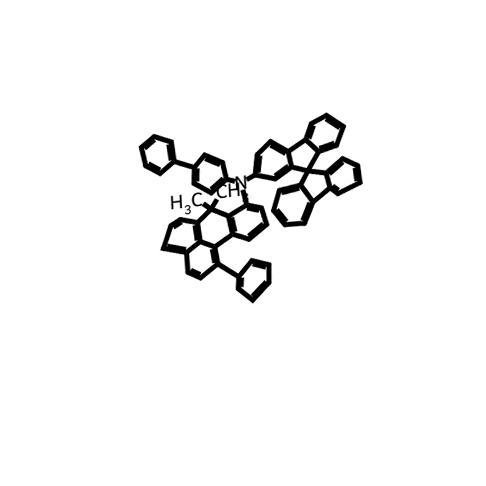 CC1(C)c2c(cccc2N(c2ccc(-c3ccccc3)cc2)c2ccc3c(c2)C2(c4ccccc4-c4ccccc42)c2ccccc2-3)-c2c(-c3ccccc3)ccc3cccc1c23